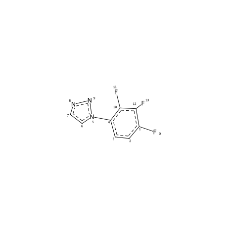 Fc1ccc(-n2ccnn2)c(F)c1F